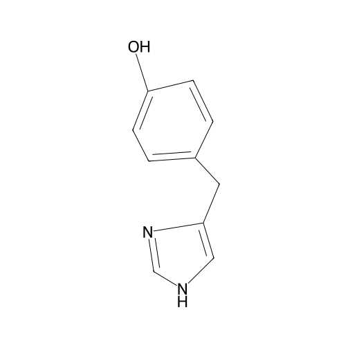 Oc1ccc(Cc2c[nH]cn2)cc1